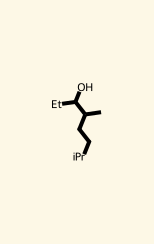 CCC(O)C(C)CCC(C)C